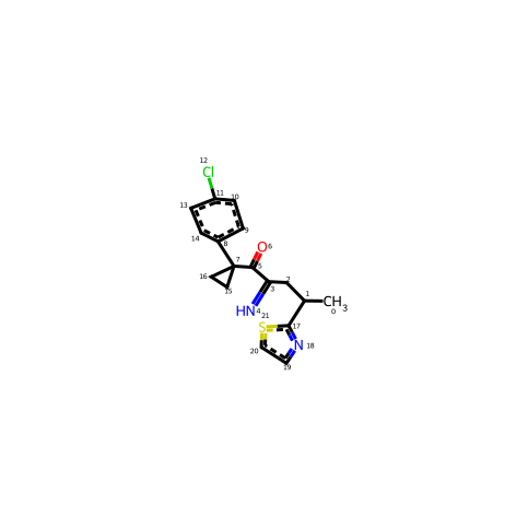 CC(CC(=N)C(=O)C1(c2ccc(Cl)cc2)CC1)c1nccs1